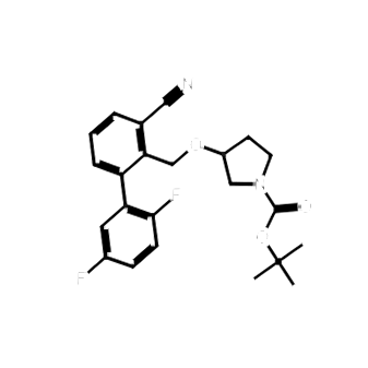 CC(C)(C)OC(=O)N1CCC(OCc2c(C#N)cccc2-c2cc(F)ccc2F)C1